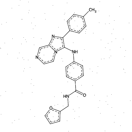 Cc1ccc(-c2nc3cnccn3c2Nc2ccc(C(=O)NCc3ccco3)cc2)cc1